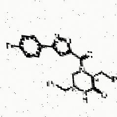 CC(C)C[C@H]1CN(C(=O)c2cc(-c3ccc(F)cc3)no2)[C@@H](CC(C)C)C(=O)N1